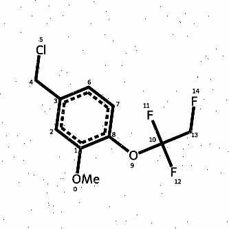 COc1cc(CCl)ccc1OC(F)(F)CF